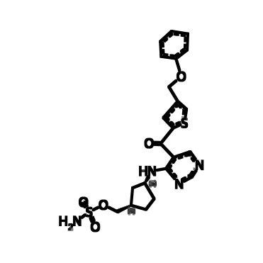 NS(=O)(=O)OC[C@@H]1CC[C@H](Nc2ncncc2C(=O)c2cc(COc3ccccc3)cs2)C1